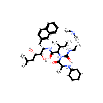 CCC(C)C(C(=O)N[C@@H](Cc1ccc2ccccc2c1)[C@@H](O)[C@@H](O)CC(C)C)N(C(=O)C(C)NC1CCCCC1)C(=O)N(C)CC.CNC